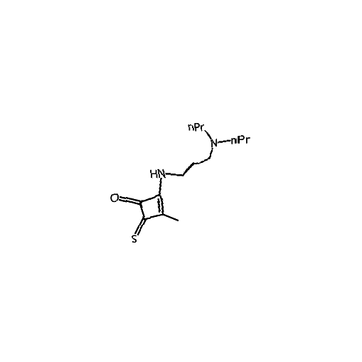 CCCN(CCC)CCCNc1c(C)c(=S)c1=O